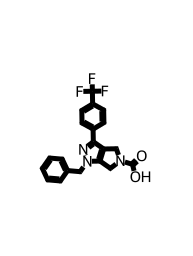 O=C(O)N1Cc2c(-c3ccc(C(F)(F)F)cc3)nn(Cc3ccccc3)c2C1